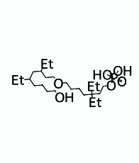 CCC(CCCCO)CC(CC)CCOCCCCC(CC)(CC)CCOP(=O)(O)O